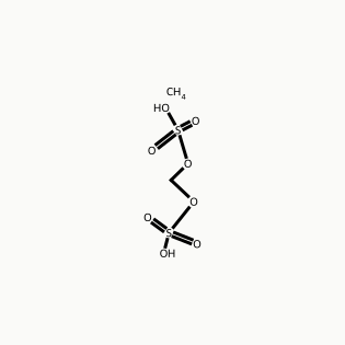 C.O=S(=O)(O)OCOS(=O)(=O)O